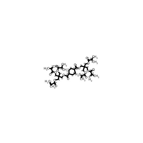 C=C(C)C(=O)OCC(COC(=O)C(=C)C)(COC(=O)C(=C)C)COC(=O)C1CCC(C(=O)OCC(COC(=O)C(=C)C)(COC(=O)C(=C)C)COC(=O)C(=C)C)CC1